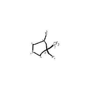 FC1CSCC1(F)C(F)(F)F